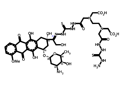 COc1cccc2c1C(=O)c1c(O)c3c(c(O)c1C2=O)C[C@@](O)(/C(CO)=N/NC(=S)NNC(=O)CN(CCN(CC(=O)O)CC(=O)NNC(=S)NN)CC(=O)O)C[C@@H]3O[C@H]1C[C@H](N)[C@H](O)[C@H](C)O1